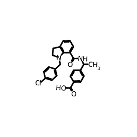 CC(NC(=O)c1cccc2c1N(Cc1ccc(Cl)cc1)CC2)c1ccc(C(=O)O)cc1